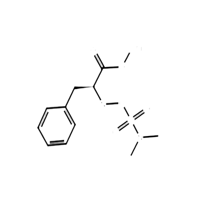 CN(C)S(=O)(=O)ON[C@@H](Cc1ccccc1)C(=O)OC(C)(C)C